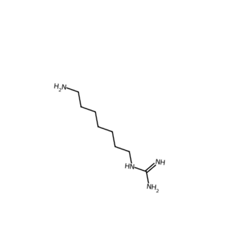 N=C(N)NCCCCCCCN